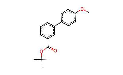 COc1ccc(-c2cccc(C(=O)OC(C)(C)C)c2)cc1